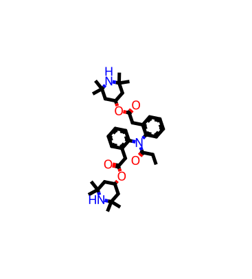 CCC(=O)N(c1ccccc1CC(=O)OC1CC(C)(C)NC(C)(C)C1)c1ccccc1CC(=O)OC1CC(C)(C)NC(C)(C)C1